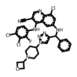 N#Cc1cnc2c(Cl)cc(NC(c3ccccc3)c3cn(C4CCN(C5COC5)CC4)nn3)cc2c1Nc1ccc(Cl)c(Cl)c1F